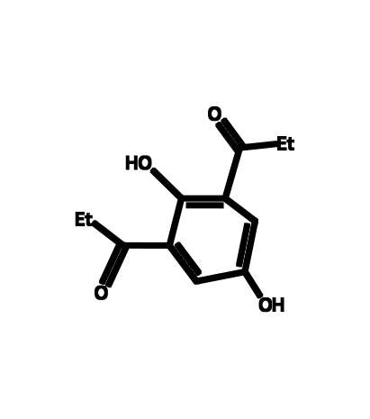 CCC(=O)c1cc(O)cc(C(=O)CC)c1O